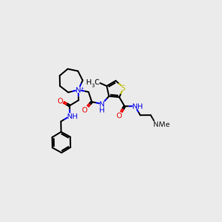 CNCCNC(=O)c1scc(C)c1NC(=O)C[N+]1(CC(=O)NCc2ccccc2)CCCCCC1